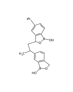 CC(C)c1ccc2c(c1)C(CC(C)c1ccc3c(c1)B(O)OC3)OB2O